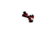 C[C@H]1CC2C[C@H](C)CC(c3cccc(N(c4ccc(-c5ccc(-c6ccccc6-n6c7ccccc7c7ccccc76)cc5)cc4)c4ccc(-c5cccc6ccccc56)cc4)c3)(C2)C1